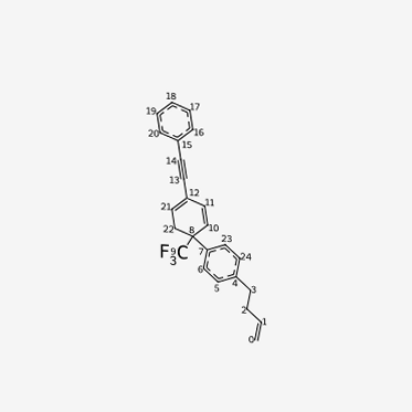 C=CCCc1ccc(C2(C(F)(F)F)C=CC(C#Cc3ccccc3)=CC2)cc1